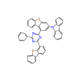 c1ccc(-c2nc(-c3cccc4c3sc3ccccc34)nc(-c3cc(-n4c5ccccc5c5ccccc54)cc4sc5ccccc5c34)n2)cc1